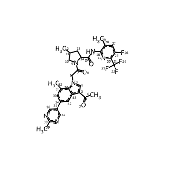 CC(=O)c1cn(CC(=O)N2CC(C)CC2C(=O)Nc2nc(C(F)(F)F)c(F)cc2C)c2c(C)cc(-c3cnc(C)nc3)cc12